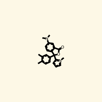 Cc1ccc(C2(c3cccn3C)OC(=O)c3cc(N(C)C)ccc32)cc1C